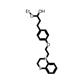 CCOC(O)CCc1ccc(OCCN2CCSc3ccccc32)cc1